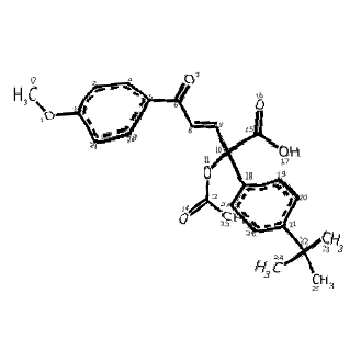 COc1ccc(C(=O)/C=C/C(OC(C)=O)(C(=O)O)c2ccc(C(C)(C)C)cc2)cc1